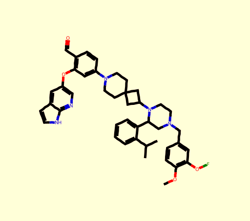 COc1ccc(CN2CCN(C3CC4(CCN(c5ccc(C=O)c(Oc6cnc7[nH]ccc7c6)c5)CC4)C3)C(c3ccccc3C(C)C)C2)cc1OF